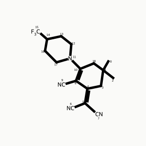 CC1(C)CC(=C(C#N)C#N)C(C#N)=C(N2CCC(C(F)(F)F)CC2)C1